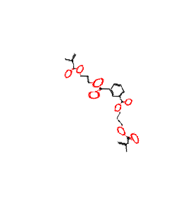 C=C(C)C(=O)OCCCOC(=O)c1cccc(C(=O)OCCCOC(=O)C(=C)C)c1